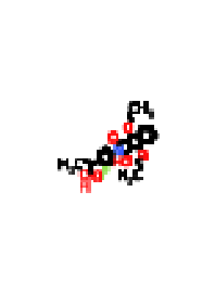 CCCOc1c2c(c(OCCC)c3ccccc13)C(O)N(c1ccc(C(CC)C(=O)O)c(F)c1)C2=O